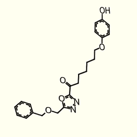 O=C(CCCCCCOc1ccc(O)cc1)c1nnc(COCc2ccccc2)o1